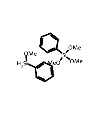 CO[SiH2]c1ccccc1.CO[Si](OC)(OC)c1ccccc1